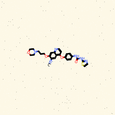 [C-]#[N+]c1cc2c(Oc3ccc(NC(=O)Nc4nccs4)cc3)ccnc2cc1OCCCN1CCOCC1